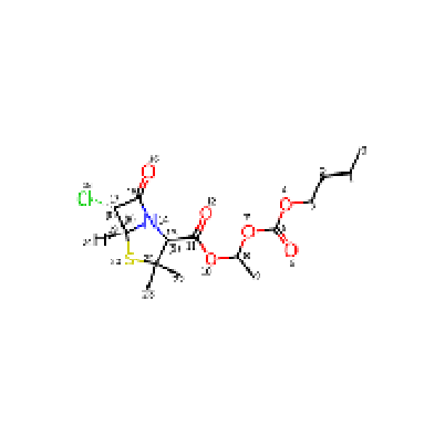 CCCCOC(=O)OC(C)OC(=O)[C@@H]1N2C(=O)[C@@H](Cl)[C@H]2SC1(C)C